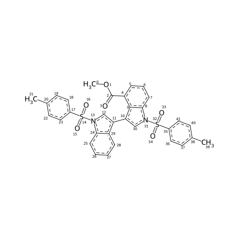 COC(=O)c1cccc2c1c(-c1cn(S(=O)(=O)c3ccc(C)cc3)c3ccccc13)cn2S(=O)(=O)c1ccc(C)cc1